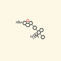 C=Cc1c(C=C)c(-c2ccc(-c3ccc4oc5cc(CCCC)cc6ccc3c4c65)cc2)c2ccccc2c1-c1ccccc1